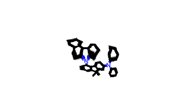 CC1(C)c2cc(N(c3ccccc3)c3ccccc3)ccc2-c2c(-n3c4ccccc4c4c5ccccc5ccc43)cccc21